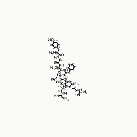 CC(C)C[C@H](NC(=O)[C@H](Cc1ccccc1)NC(=O)[C@@H](C)NC(=O)CNC(=O)[C@@H](N)Cc1ccc(O)cc1)C(=O)N[C@@H](CCCNC(=N)N)C(=O)N[C@@H](CCCNC(=N)N)C(N)=O